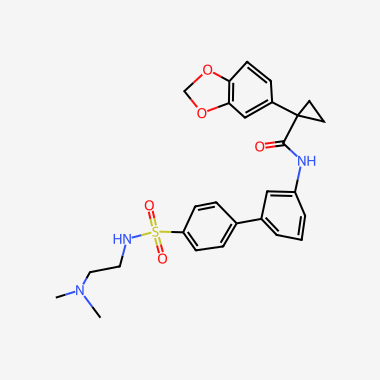 CN(C)CCNS(=O)(=O)c1ccc(-c2cccc(NC(=O)C3(c4ccc5c(c4)OCO5)CC3)c2)cc1